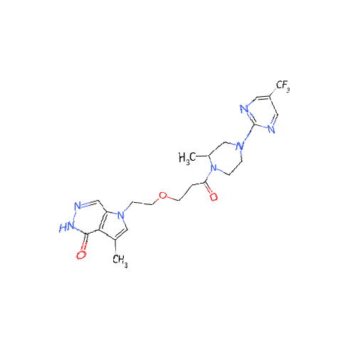 Cc1cn(CCOCCC(=O)N2CCN(c3ncc(C(F)(F)F)cn3)CC2C)c2cn[nH]c(=O)c12